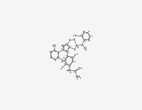 CCc1cccc(CC)c1-n1nc2c(c1-c1cc(F)c(NC(N)=O)cc1F)CN(C(CC)c1ccccc1F)CC2